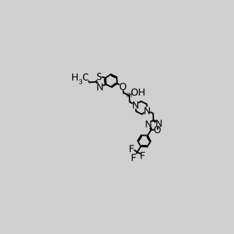 CCc1nc2cc(OC[C@H](O)CN3CCN(Cc4noc(-c5ccc(C(F)(F)F)cc5)n4)CC3)ccc2s1